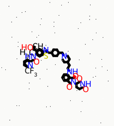 CC(C)(O)c1cc2nc(C3CCC(CN4CCC(CCNc5cccc6c5C(=O)N([C@@H]5CCC(=O)NC5=O)C6=O)CC4)CC3)sc2cc1NC(=O)c1cccc(C(F)(F)F)n1